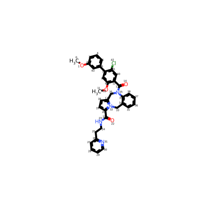 COc1cccc(-c2cc(OC)c(C(=O)N3Cc4ccc(C(=O)NCCc5ccccn5)n4Cc4ccccc43)cc2Cl)c1